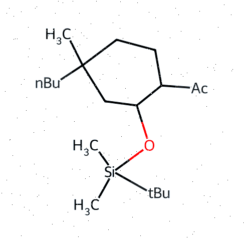 CCCCC1(C)CCC(C(C)=O)C(O[Si](C)(C)C(C)(C)C)C1